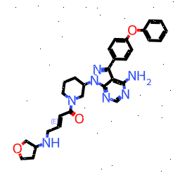 Nc1ncnc2c1c(-c1ccc(Oc3ccccc3)cc1)nn2C1CCCN(C(=O)/C=C/CNC2CCOC2)C1